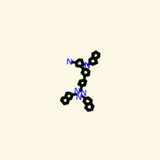 N#Cc1ccc2c(c1)c1cc(-c3ccc(-c4nc(-c5ccc6ccccc6c5)nc(-c5ccc6ccccc6c5)n4)cc3)ccc1n2-c1ccc2ccccc2c1